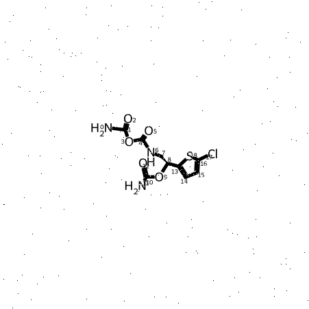 NC(=O)OC(=O)NC[C@H](OC(N)=O)c1ccc(Cl)s1